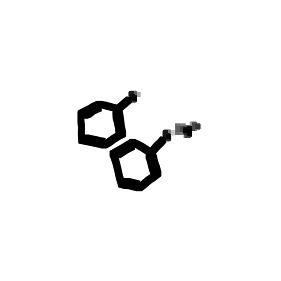 [Hg+2].[S-]c1ccccc1.[S-]c1ccccc1